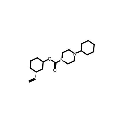 C=C[C@@H]1CCCC(OC(=O)N2CCN(C3CCCCC3)CC2)C1